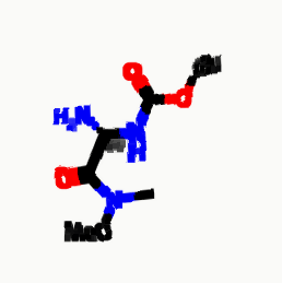 CON(C)C(=O)[C@H](N)NC(=O)OC(C)(C)C